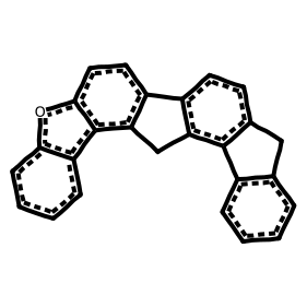 c1ccc2c(c1)Cc1ccc3c(c1-2)Cc1c-3ccc2oc3ccccc3c12